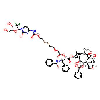 CC(=O)O[C@H]1C(=O)[C@@]2(C)[C@H]([C@H](OC(=O)c3ccccc3)[C@]3(O)C[C@H](OC(=O)[C@H](OC(=O)COCCSSCCOC(=O)Nc4ccn(C5OC(CO)C(O)C5(F)F)c(=O)n4)[C@@H](NC(=O)c4ccccc4)c4ccccc4)C(C)=C1C3(C)C)[C@]1(OC(C)=O)CO[C@@H]1C[C@@H]2O